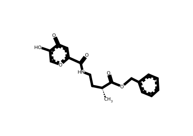 C[C@H](CCNC(=O)c1cc(=O)c(O)co1)C(=O)OCc1ccccc1